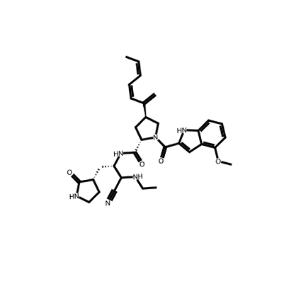 C=C(/C=C\C=C/C)[C@@H]1C[C@@H](C(=O)N[C@@H](C[C@@H]2CCNC2=O)C(C#N)NCC)N(C(=O)c2cc3c(OC)cccc3[nH]2)C1